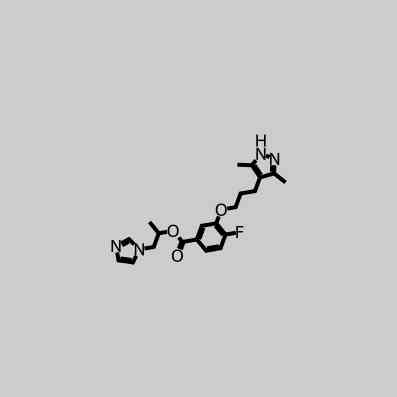 Cc1n[nH]c(C)c1CCCOc1cc(C(=O)OC(C)Cn2ccnc2)ccc1F